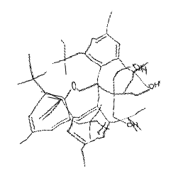 Cc1cc(C(C)(C)C)c(OC(c2c(C(C)(C)C)cc(C)cc2C(C)(C)C)(c2c(C(C)(C)C)cc(C)cc2C(C)(C)C)C(CO)(CO)CO)c(C(C)(C)C)c1